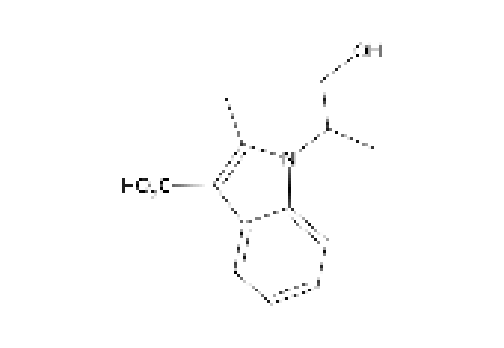 Cc1c(C(=O)O)c2ccccc2n1C(C)CO